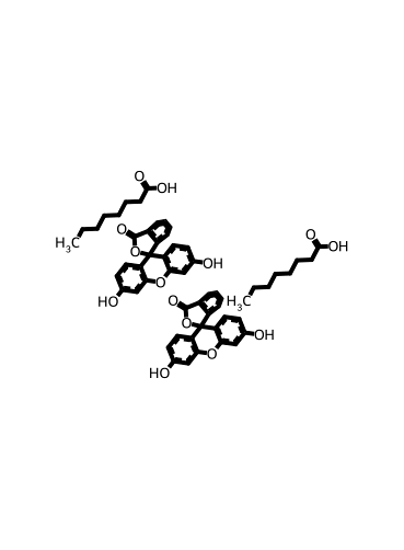 CCCCCCCC(=O)O.CCCCCCCC(=O)O.O=C1OC2(c3ccc(O)cc3Oc3cc(O)ccc32)c2ccccc21.O=C1OC2(c3ccc(O)cc3Oc3cc(O)ccc32)c2ccccc21